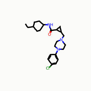 CCC1CCC(NC(=O)C2CC2CN2CCN(c3ccc(Cl)cc3)CC2)CC1